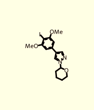 COc1cc(-c2cnn(C3CCCCO3)c2)cc(OC)c1I